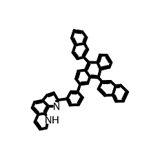 C1=Cc2ccc3ccc(-c4cccc(-c5ccc6c(-c7ccc8ccccc8c7)c7ccccc7c(-c7ccc8ccccc8c7)c6c5)c4)nc3c2NC1